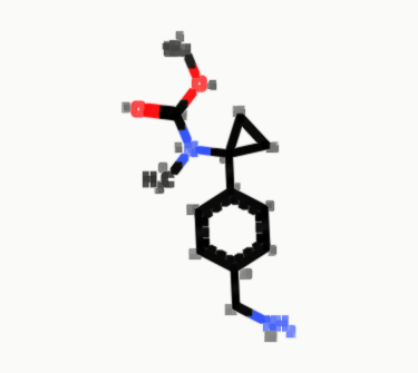 CN(C(=O)OC(C)(C)C)C1(c2ccc(CN)cc2)CC1